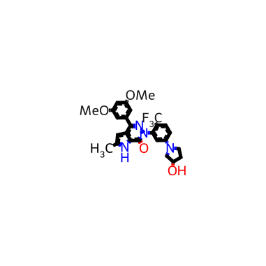 COc1cc(OC)cc(-c2nn(-c3cc(N4CCC(O)C4)ccc3C(F)(F)F)c(=O)c3[nH]c(C)cc23)c1